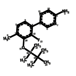 Cc1ccc(-c2cnc(N)cn2)c(F)c1O[Si](C)(C)C(C)(C)C